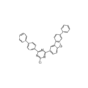 Clc1nc(-c2ccc(-c3ccccc3)cc2)nc(-c2ccc3oc4cc(-c5ccccc5)ccc4c3c2)n1